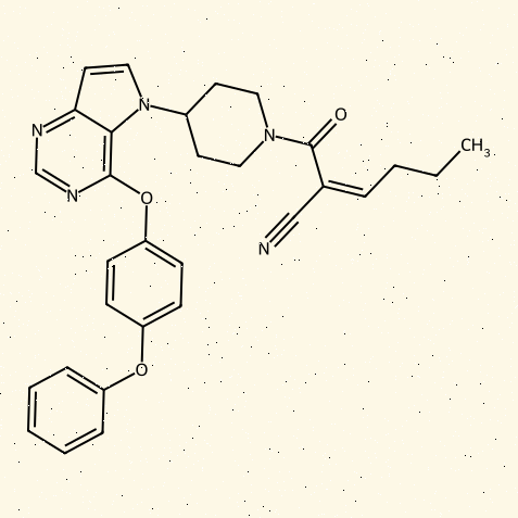 CCC/C=C(/C#N)C(=O)N1CCC(n2ccc3ncnc(Oc4ccc(Oc5ccccc5)cc4)c32)CC1